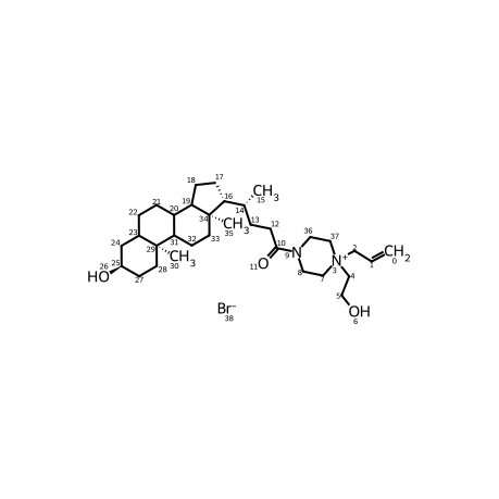 C=CC[N+]1(CCO)CCN(C(=O)CC[C@@H](C)[C@H]2CCC3C4CCC5C[C@H](O)CC[C@]5(C)C4CC[C@@]32C)CC1.[Br-]